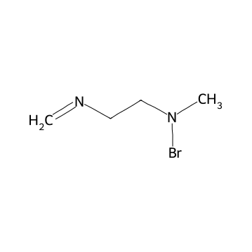 C=NCCN(C)Br